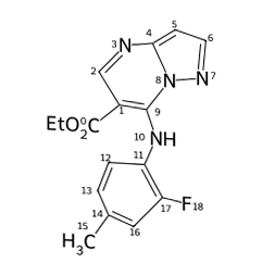 CCOC(=O)c1cnc2ccnn2c1Nc1ccc(C)cc1F